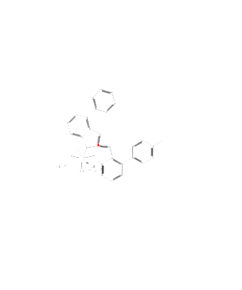 CCCC[CH2][Hf]([CH3])([CH3])(=[SiH2])([CH2]CCCC)([CH]1C=Cc2c(-c3ccc(C)cc3)cccc21)[CH]1C=Cc2c(-c3ccc(C)cc3)cccc21